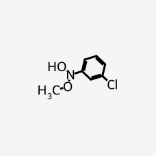 CON(O)c1cccc(Cl)c1